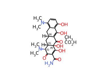 CC(=O)O.CN(C)c1ccc(O)c2c1C[C@H]1C[C@H]3[C@H](N(C)C)C(=O)C(C(N)=O)=C(O)[C@@]3(O)C(=O)C1=C2O